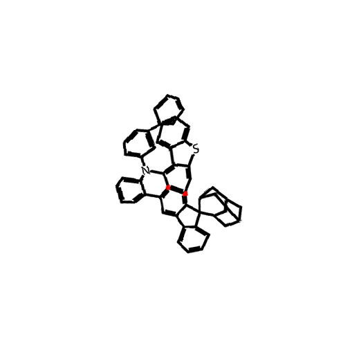 c1ccc(-c2cccc(N(c3ccccc3-c3ccc4c(c3)-c3ccccc3C43C4CC5CC(C4)CC3C5)c3cccc4sc5ccccc5c34)c2)cc1